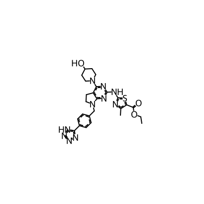 CCOC(=O)c1sc(Nc2nc(N3CCC(O)CC3)c3c(n2)N(Cc2ccc(-c4nnn[nH]4)cc2)CC3)nc1C